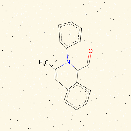 CC1=Cc2ccccc2C(C=O)N1c1ccccc1